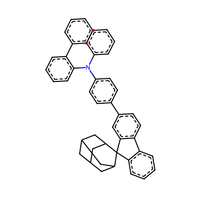 c1ccc(-c2ccccc2N(c2ccccc2)c2ccc(-c3ccc4c(c3)C3(c5ccccc5-4)C4CC5CC(C4)CC3C5)cc2)cc1